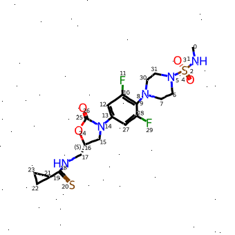 CNS(=O)(=O)N1CCN(c2c(F)cc(N3C[C@H](CNC(=S)C4CC4)OC3=O)cc2F)CC1